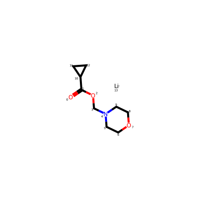 O=C(OCN1CCOCC1)C1CC1.[Li]